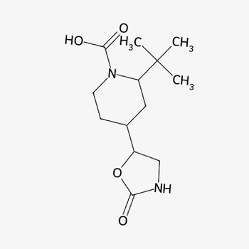 CC(C)(C)C1CC(C2CNC(=O)O2)CCN1C(=O)O